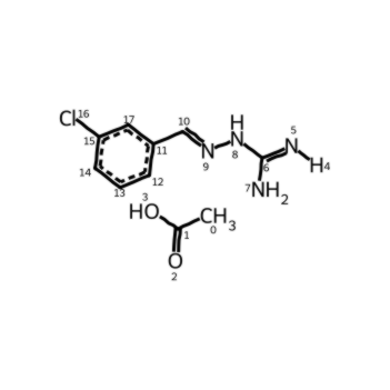 CC(=O)O.[H]/N=C(\N)NN=Cc1cccc(Cl)c1